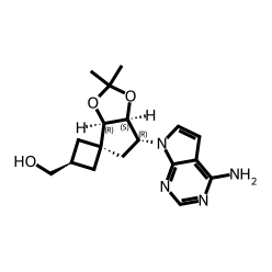 CC1(C)O[C@H]2[C@H](n3ccc4c(N)ncnc43)C[C@]3(C[C@H](CO)C3)[C@H]2O1